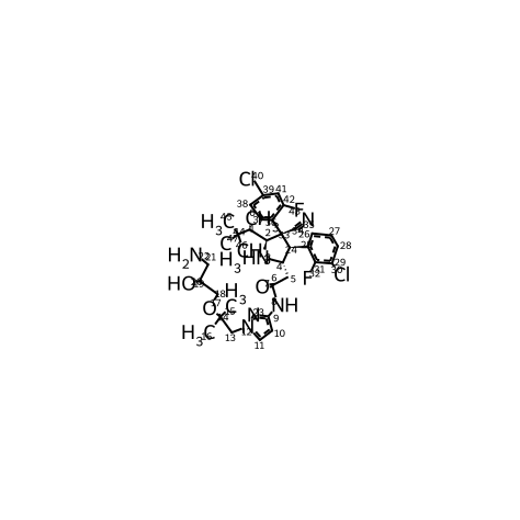 C[C@H]([C@@H]1N[C@@H](CC(=O)Nc2ccn(CC(C)(C)OC[C@@H](O)CN)n2)[C@H](c2cccc(Cl)c2F)[C@@]1(C#N)c1ccc(Cl)cc1F)C(C)(C)C